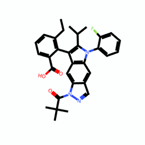 CCc1cccc(C(=O)O)c1-c1c(C(C)C)n(-c2ccccc2F)c2cc3cnn(C(=O)C(C)(C)C)c3cc12